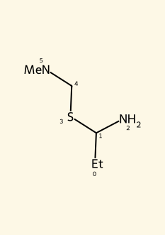 CCC(N)SCNC